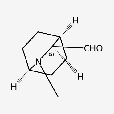 CN1[C@H]2CC[C@H](CC2)[C@H]1C=O